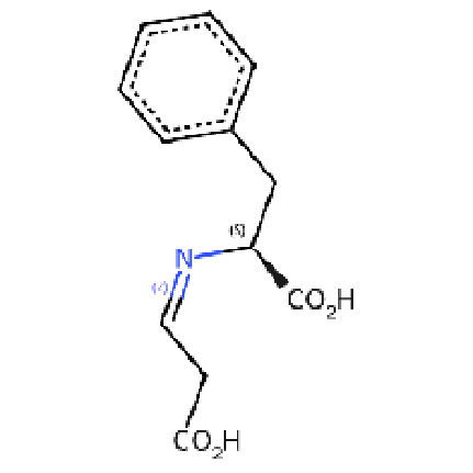 O=C(O)C/C=N\[C@@H](Cc1ccccc1)C(=O)O